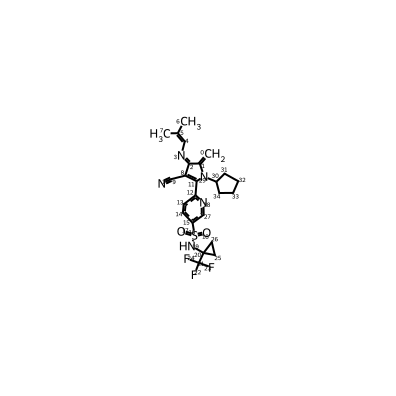 C=C1/C(=N\C=C(C)C)C(C#N)=C(c2ccc(S(=O)(=O)NC3(C(F)(F)F)CC3)cn2)N1C1CCCC1